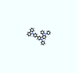 c1ccc(-n2c3ccccc3c3c4c5cc(-c6ccc(-n7c8ccccc8c8ccccc87)cc6)ccc5n(-c5ccccc5)c4ccc32)cc1